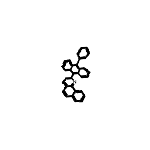 c1ccc(-c2c3ccccc3c(-c3ccc4ccc5ccccc5c4n3)c3ccccc23)cc1